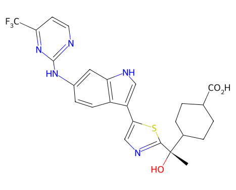 C[C@@](O)(c1ncc(-c2c[nH]c3cc(Nc4nccc(C(F)(F)F)n4)ccc23)s1)C1CCC(C(=O)O)CC1